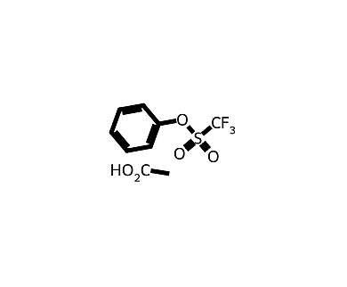 CC(=O)O.O=S(=O)(Oc1ccccc1)C(F)(F)F